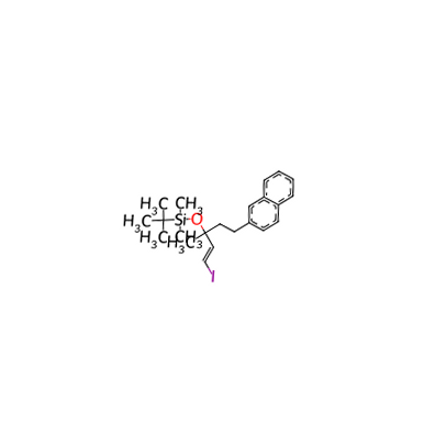 CC(C=CI)(CCc1ccc2ccccc2c1)O[Si](C)(C)C(C)(C)C